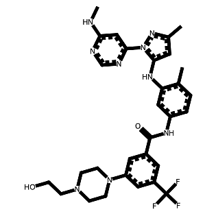 CNc1cc(-n2nc(C)cc2Nc2cc(NC(=O)c3cc(N4CCN(CCO)CC4)cc(C(F)(F)F)c3)ccc2C)ncn1